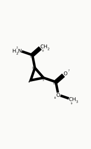 C=C(N)C1CC1C(=O)OC